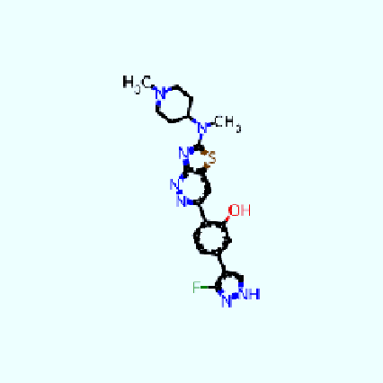 CN1CCC(N(C)c2nc3nnc(-c4ccc(-c5c[nH]nc5F)cc4O)cc3s2)CC1